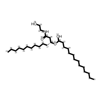 CCCCCCCCCCCCCC(O)O[C@H](CCCCCCCCCCC)CC(=O)NCCO